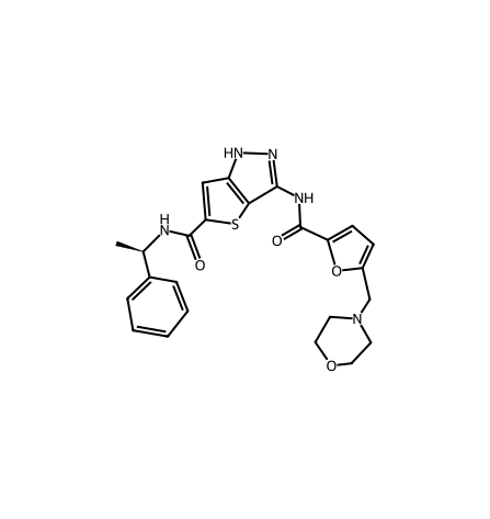 C[C@@H](NC(=O)c1cc2[nH]nc(NC(=O)c3ccc(CN4CCOCC4)o3)c2s1)c1ccccc1